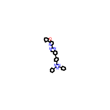 c1ccc(-c2nc(-c3ccccc3)nc(-c3ccc(-c4ccc5nc(-c6ccc7oc8ccccc8c7n6)ncc5c4)cc3)n2)cc1